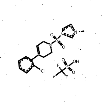 C[n+]1ccn(S(=O)(=O)N2CC=C(c3ccccc3Cl)CC2)c1.O=S(=O)(O)C(F)(F)F